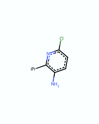 CC(C)c1nc(Cl)ccc1N